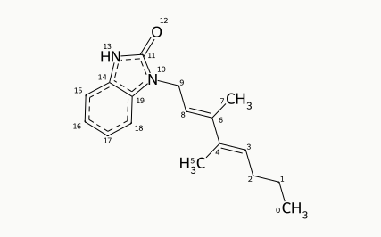 CCC/C=C(C)/C(C)=C/Cn1c(=O)[nH]c2ccccc21